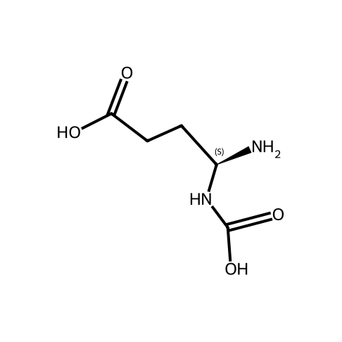 N[C@H](CCC(=O)O)NC(=O)O